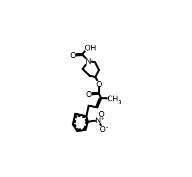 CC(=CCc1ccccc1[N+](=O)[O-])C(=O)OC1CCN(C(=O)O)CC1